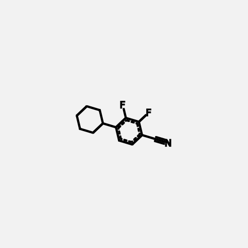 N#Cc1ccc(C2CCCCC2)c(F)c1F